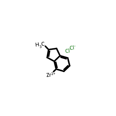 CC1=Cc2[c]([Zr+2])cccc2C1.[Cl-].[Cl-]